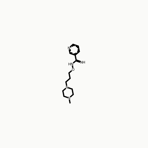 CN1CCN(CCCONC(=N)c2cccnc2)CC1